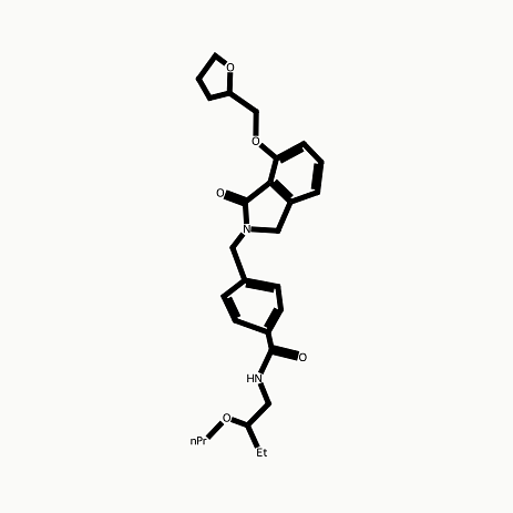 CCCOC(CC)CNC(=O)c1ccc(CN2Cc3cccc(OCC4CCCO4)c3C2=O)cc1